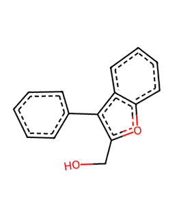 OCc1oc2ccccc2c1-c1ccccc1